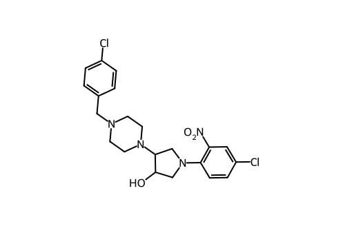 O=[N+]([O-])c1cc(Cl)ccc1N1CC(O)C(N2CCN(Cc3ccc(Cl)cc3)CC2)C1